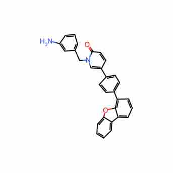 Nc1cccc(Cn2cc(-c3ccc(-c4cccc5c4oc4ccccc45)cc3)ccc2=O)c1